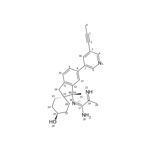 CC#Cc1cncc(-c2ccc3c(c2)[C@](C)(/N=C(/N)C(C)=N)[C@]2(CC[C@H](O)CC2)C3)c1